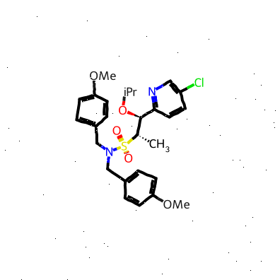 COc1ccc(CN(Cc2ccc(OC)cc2)S(=O)(=O)[C@@H](C)[C@@H](OC(C)C)c2ccc(Cl)cn2)cc1